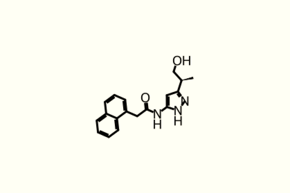 C[C@H](CO)c1cc(NC(=O)Cc2cccc3ccccc23)[nH]n1